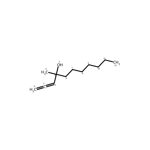 C=C=CC(C)(O)CCCCCCC